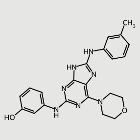 Cc1cccc(Nc2nc3c(N4CCOCC4)nc(Nc4cccc(O)c4)nc3[nH]2)c1